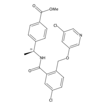 COC(=O)c1ccc([C@H](C)NC(=O)c2cc(Cl)ccc2COc2cncc(Cl)c2)cc1